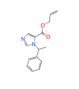 C=CCOC(=O)c1cncn1C(C)c1ccccc1